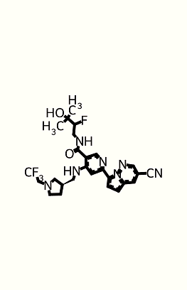 CC(C)(O)C(F)CNC(=O)c1cnc(-c2ccc3cc(C#N)cnn23)cc1NC[C@H]1CCN(CC(F)(F)F)C1